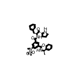 C[C@@H](NC(=O)c1cc(C(=O)N[C@@H](Cc2ccccc2)C(=O)[C@H]2CCCN2)cc(N(C)S(C)(=O)=O)c1)c1ccccc1